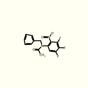 CC(=O)N(Cc1ccccc1)c1cc(F)c(F)c(F)c1[N+](=O)[O-]